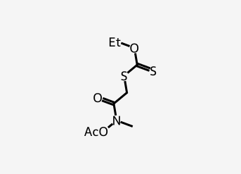 CCOC(=S)SCC(=O)N(C)OC(C)=O